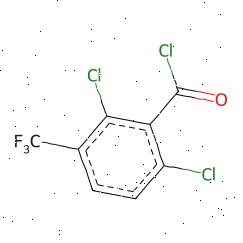 O=C(Cl)c1c(Cl)ccc(C(F)(F)F)c1Cl